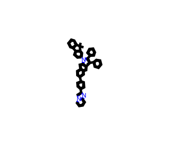 CC1(C)c2ccccc2-c2ccc(-n3c(-c4ccccc4)c(-c4ccccc4)c4cc5cc(-c6ccc(-c7cn8ccccc8n7)cc6)ccc5cc43)cc21